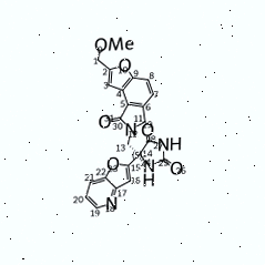 COCc1cc2c3c(ccc2o1)CN(C[C@@]1(c2cc4ncccc4o2)NC(=O)NC1=O)C3=O